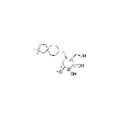 CC1(C)CC2(CCC(CN3C[C@H](O)[C@@H](O)[C@H](O)[C@@H]3CO)CC2)CO1